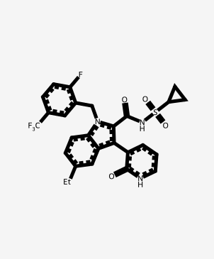 CCc1ccc2c(c1)c(-c1ccc[nH]c1=O)c(C(=O)NS(=O)(=O)C1CC1)n2Cc1cc(C(F)(F)F)ccc1F